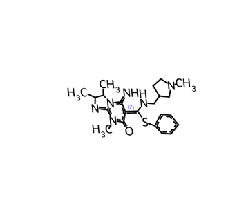 CC1N=c2n(C)c(=O)/c(=C(/NCC3CCN(C)C3)Sc3ccccc3)c(=N)n2C1C